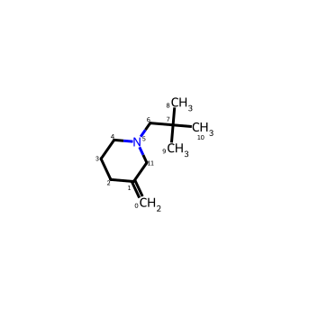 C=C1CCCN(CC(C)(C)C)C1